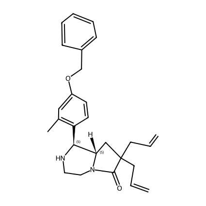 C=CCC1(CC=C)C[C@H]2[C@H](c3ccc(OCc4ccccc4)cc3C)NCCN2C1=O